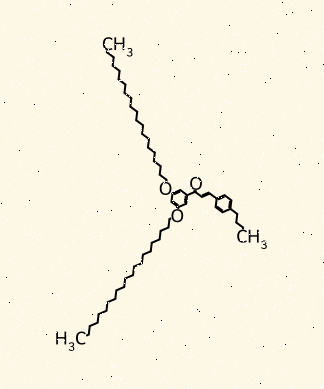 CCCCCCCCCCCCCCCCCCCCCOc1cc(OCCCCCCCCCCCCCCCCCCCCC)cc(C(=O)C=Cc2ccc(CCCC)cc2)c1